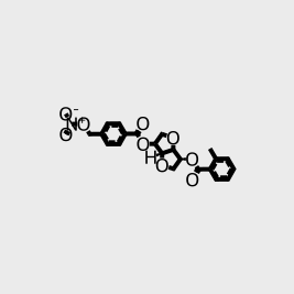 Cc1ccccc1C(=O)O[C@H]1CO[C@@H]2C(OC(=O)c3ccc(CO[N+](=O)[O-])cc3)COC21